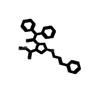 COC(=O)C1C[C@H](OC/C=C/c2ccccc2)CN1C(=O)C(c1ccccc1)c1ccccc1